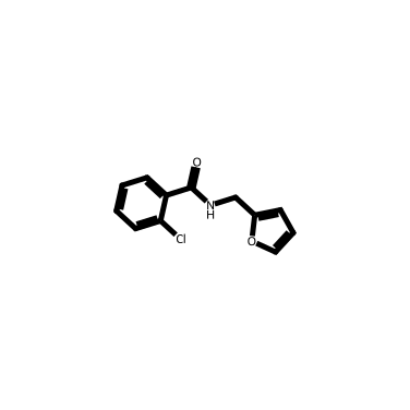 O=C(NCc1ccco1)c1ccccc1Cl